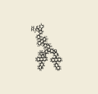 CC1(C)c2ccccc2-c2ccc(-c3cccc(-c4c5ccccc5c(-c5ccc6cc(-c7cc8oc9ccc(-c%10c%11ccccc%11c(-c%11ccc%12ccccc%12c%11)c%11ccccc%10%11)cc9c8cc7-c7ccc8c(c7)oc7c(-c9c%10ccccc%10c(-c%10ccc%11ccccc%11c%10)c%10ccccc9%10)cccc78)ccc6c5)c5ccccc45)c3)cc21